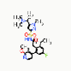 COc1cc(-c2cc(F)cc(C(C)C)c2CC(=O)NS(=O)(=O)c2cc(C(C)N(C)C)n(C)n2)ccn1